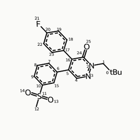 CC(C)(C)Cn1ncc(-c2cccc(S(C)(=O)=O)c2)c(-c2ccc(F)cc2)c1=O